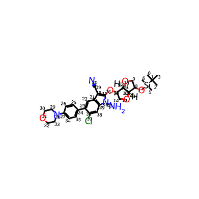 CC(C)(C)[Si](C)(C)OC1CO[C@H]2[C@@H]1OC[C@H]2Oc1c(C#N)c2cc(-c3ccc(N4CCOCC4)cc3)c(Cl)cc2n1N